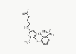 C=C(C)CCCNc1cnc(Sc2cccc(S(C)(=N)=O)c2Cl)c(N)n1